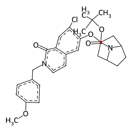 COc1ccc(Cn2ccc3cc(OC4CC5CCC(C4)N5C(=O)OC(C)(C)C)c(Cl)cc3c2=O)cc1